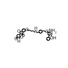 Nc1nnc(-c2ccccc2O)cc1OCCc1ccc(CNCCCCCOc2ccc3c(c2)C(=O)N(C2CCC(=O)NC2=O)C3=O)cc1